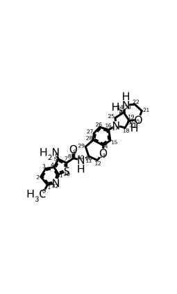 Cc1ccc2c(N)c(C(=O)N[C@H]3COc4cc(N5C[C@@H]6OCCN[C@@H]6C5)ccc4C3)sc2n1